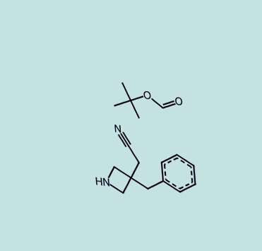 CC(C)(C)OC=O.N#CCC1(Cc2ccccc2)CNC1